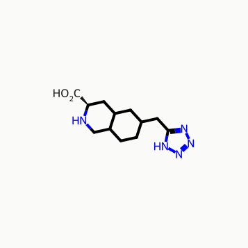 O=C(O)[C@H]1CC2CC(Cc3nnn[nH]3)CCC2CN1